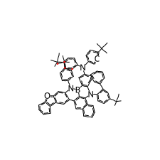 CC(C)(C)c1ccc(N2B3c4cc(N(c5ccc(C(C)(C)C)cc5)c5ccc(C(C)(C)C)cc5)ccc4N(c4ccc(C(C)(C)C)cc4-c4ccccc4)c4c3c(cc3ccccc43)-c3cc4c(cc32)oc2ccccc24)cc1